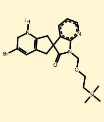 [2H]N1CC(Br)=CC2=C1CC1(C2)C(=O)N(COCC[Si](C)(C)C)c2ncccc21